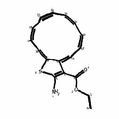 CCOC(=O)c1c(N)sc2/c1=C\C=C/C=C\C=C/C=C\C=2